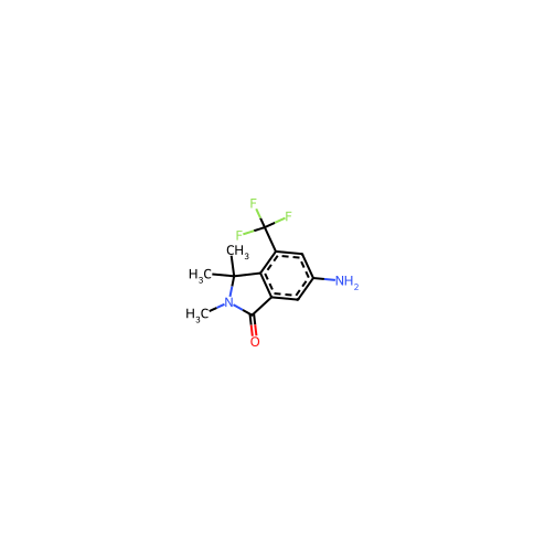 CN1C(=O)c2cc(N)cc(C(F)(F)F)c2C1(C)C